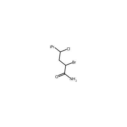 CC(C)C(Cl)CC(Br)C(N)=O